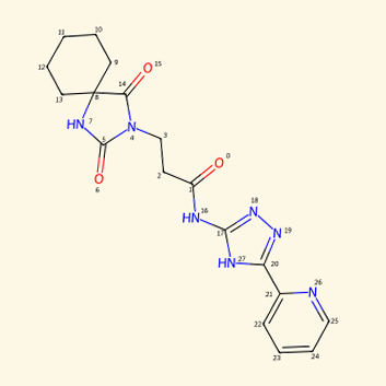 O=C(CCN1C(=O)NC2(CCCCC2)C1=O)Nc1nnc(-c2ccccn2)[nH]1